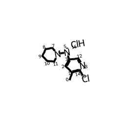 Cc1cc(N(C)N2CCCCC2)cnc1Cl.Cl